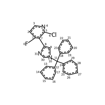 Fc1ccnc(Cl)c1-c1cn(C(c2ccccc2)(c2ccccc2)c2ccccc2)cn1